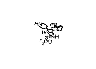 N#CC1=C(C2CCNCC2)NC2=C(CNN2OC(=O)C(F)(F)F)C1c1ccccc1Cl